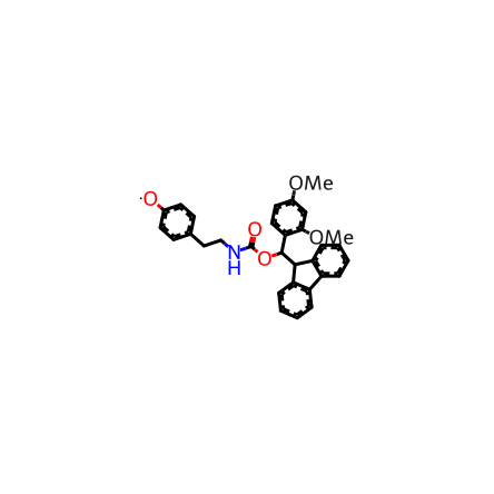 COc1ccc(C(OC(=O)NCCc2ccc([O])cc2)C2c3ccccc3-c3ccccc32)c(OC)c1